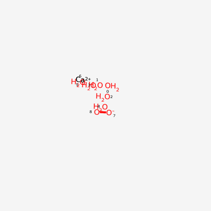 O.O.O.O.O.O.[Ca+2].[O-][O-]